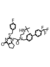 CC(C)(C)NCCN(Cc1ccc(-c2ccc(C(F)(F)F)cc2)cc1)C(=O)Cn1c(SCc2ccc(F)cc2)nc(=O)c2c1CCC2